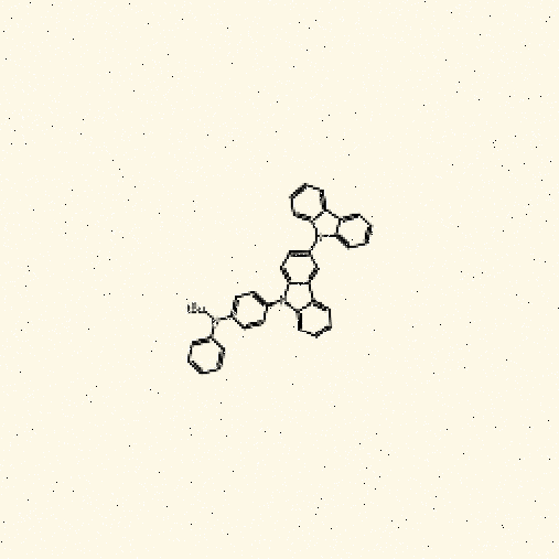 CC(C)(C)N(c1ccccc1)c1ccc(-n2c3ccccc3c3cc(-n4c5ccccc5c5ccccc54)ccc32)cc1